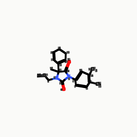 COCN1C(=O)N(c2ccc(C#N)c(C(F)(F)F)c2)C(=O)C1(C)C1=CC[CH]C=C1